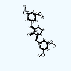 COc1cc(C=C2CCCC(=Cc3cc(OC)cc(OC)c3)C2=O)cc(OC)c1